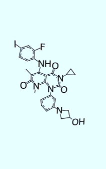 Cc1c(Nc2ccc(I)cc2F)c2c(=O)n(C3CC3)c(=O)n(-c3cccc(N4CC(O)C4)c3)c2n(C)c1=O